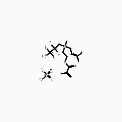 C=C(C)C(=O)OCC[N+](C)(CC=C(C)C)CC(F)(F)C(F)(F)C(F)(F)F.O=S(=O)([O-])C(F)(F)F